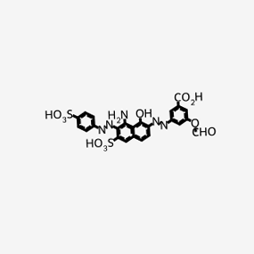 Nc1c(N=Nc2ccc(S(=O)(=O)O)cc2)c(S(=O)(=O)O)cc2ccc(N=Nc3cc(OC=O)cc(C(=O)O)c3)c(O)c12